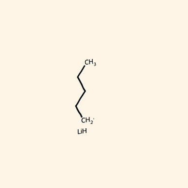 [CH2]CCCC.[LiH]